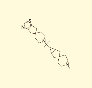 CN1CCC2(CC1)CC1C(C2)C1C(C)(C)N1CCC2(CC1)Cc1ncsc1C2